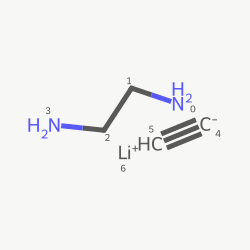 NCCN.[C-]#C.[Li+]